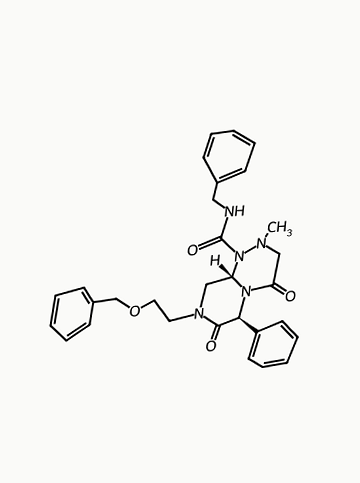 CN1CC(=O)N2[C@@H](c3ccccc3)C(=O)N(CCOCc3ccccc3)C[C@@H]2N1C(=O)NCc1ccccc1